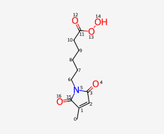 CC1=CC(=O)N(CCCCCC(=O)OO)C1=O